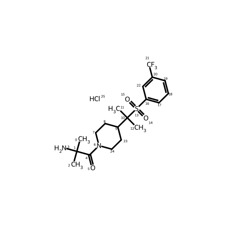 CC(C)(N)C(=O)N1CCC(C(C)(C)S(=O)(=O)c2cccc(C(F)(F)F)c2)CC1.Cl